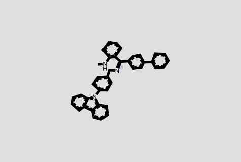 CNc1ccccc1/C(=N\Cc1ccc(-n2c3ccccc3c3ccccc32)cc1)c1ccc(-c2ccccc2)cc1